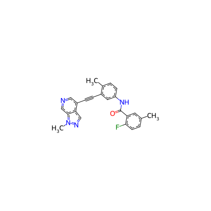 Cc1ccc(F)c(C(=O)Nc2ccc(C)c(C#Cc3cncc4c3cnn4C)c2)c1